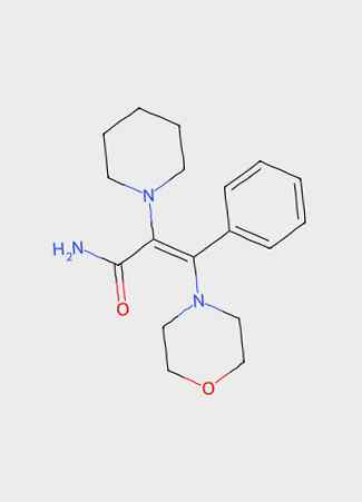 NC(=O)C(=C(c1ccccc1)N1CCOCC1)N1CCCCC1